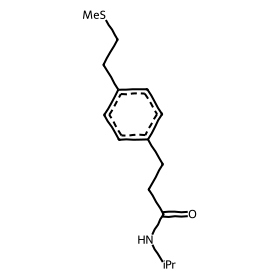 CSCCc1ccc(CCC(=O)NC(C)C)cc1